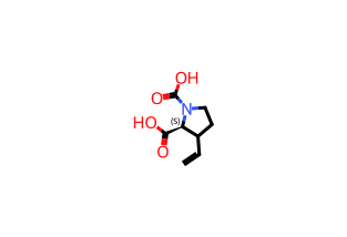 C=CC1CCN(C(=O)O)[C@@H]1C(=O)O